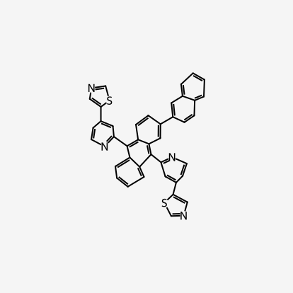 c1ccc2cc(-c3ccc4c(-c5cc(-c6cncs6)ccn5)c5ccccc5c(-c5cc(-c6cncs6)ccn5)c4c3)ccc2c1